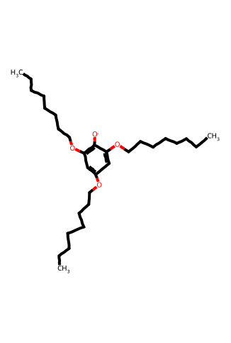 CCCCCCCCOc1cc(OCCCCCCCC)c([O])c(OCCCCCCCC)c1